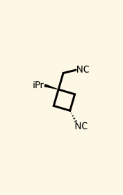 [C-]#[N+]C[C@]1(C(C)C)C[C@H]([N+]#[C-])C1